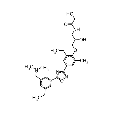 CCc1cc(CN(C)C)cc(-c2nc(-c3cc(C)c(OCC(O)CNC(=O)CO)c(CC)c3)no2)c1